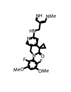 CN/C=C(\C=N)CNc1cc2c(cn1)CN(c1c(F)c(OC)cc(OC)c1F)C(=O)C21CC1